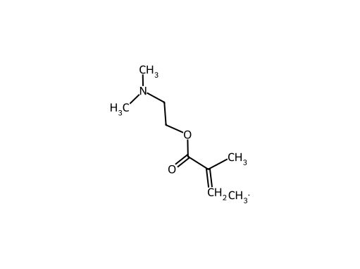 C=C(C)C(=O)OCCN(C)C.[CH3]